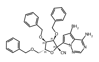 Bc1cc([C@]2(C#N)O[C@H](COCc3ccccc3)[C@@H](OCc3ccccc3)[C@H]2OCc2ccccc2)n2ncnc(N)c12